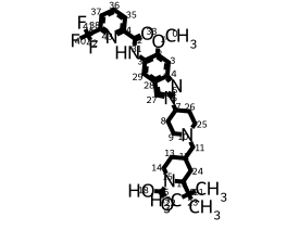 COc1cc2nn(C3CCN(CC4CCN(C(=O)O)C(C(C)(C)C)C4)CC3)cc2cc1NC(=O)c1cccc(C(F)(F)F)n1